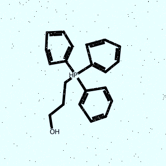 OCCC[PH](c1ccccc1)(c1ccccc1)c1ccccc1